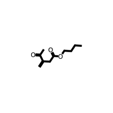 C=C(CC(=O)OCCCC)C(C)=O